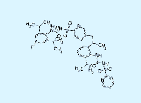 CC(C)c1cc(F)cc(C(C)C)c1NC(=O)NS(=O)(=O)c1ncc(CC(C)c2cccc(C(C)C)c2NC(=O)NS(=O)(=O)c2ncccn2)cn1